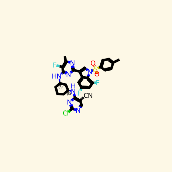 Cc1ccc(S(=O)(=O)n2cc(-c3nc(C)c(F)c(N[C@@H]4CCC[C@H](Nc5nc(Cl)ncc5C#N)C4)n3)c3cc(F)cc(F)c32)cc1